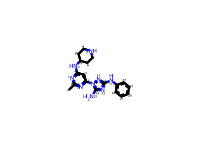 Cc1nc(NC2CCNCC2)cc(-n2nc(Nc3ccccc3)nc2N)n1